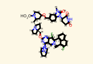 C#Cc1c(F)ccc2cccc(-c3ncc4c(N5CC6CCC(C5)N6)nc(OC[C@@]56CCCN5[C@H](CC5CC(OCc7ccc8c(c7)n(C)c(=O)n8C7CCC(=O)NC7=O)CCN5C(=O)O)CC6)nc4c3F)c12